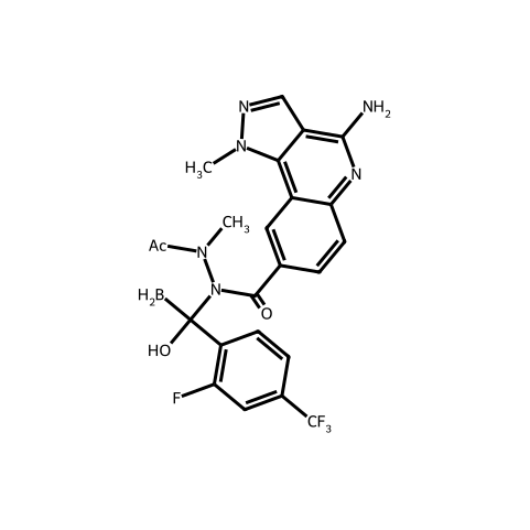 BC(O)(c1ccc(C(F)(F)F)cc1F)N(C(=O)c1ccc2nc(N)c3cnn(C)c3c2c1)N(C)C(C)=O